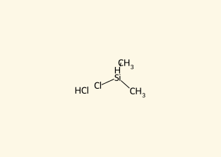 C[SiH](C)Cl.Cl